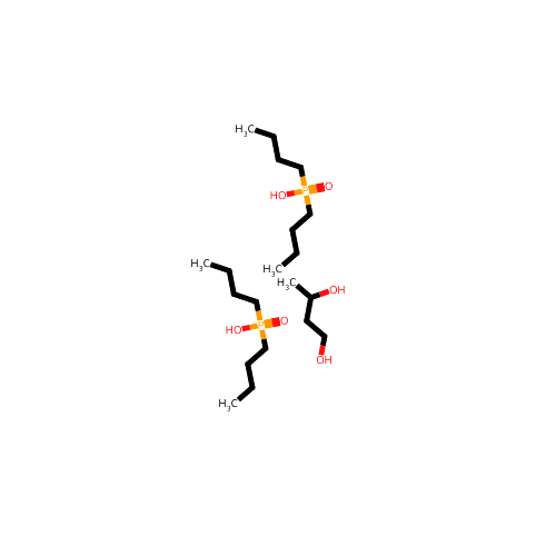 CC(O)CCO.CCCCP(=O)(O)CCCC.CCCCP(=O)(O)CCCC